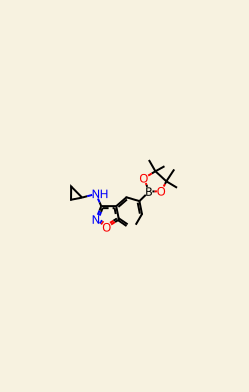 C=c1onc(NC2CC2)/c1=C/C(=C\C)B1OC(C)(C)C(C)(C)O1